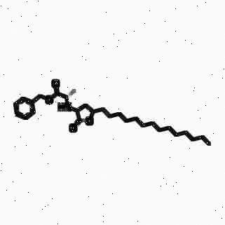 CCCCCCCCCCCCCCC1CC(N[C@@H](C)C(=O)OCc2ccccc2)C(=O)O1